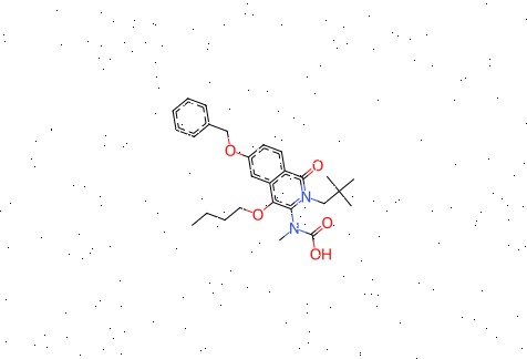 CCCCOc1c(N(C)C(=O)O)n(CC(C)(C)C)c(=O)c2ccc(OCc3ccccc3)cc12